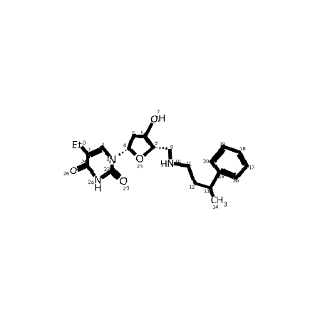 CCc1cn([C@@H]2CC(O)[C@H](CNCCC(C)c3ccccc3)O2)c(=O)[nH]c1=O